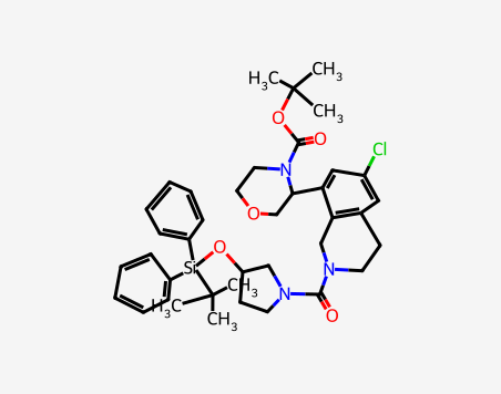 CC(C)(C)OC(=O)N1CCOCC1c1cc(Cl)cc2c1CN(C(=O)N1CCC(O[Si](c3ccccc3)(c3ccccc3)C(C)(C)C)C1)CC2